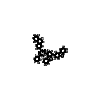 c1ccc(C2=NC(c3ccc(-c4ccc5oc6ccccc6c5c4)c4oc5ccccc5c34)NC(c3ccc4c(ccc5ccccc54)c3)=N2)cc1